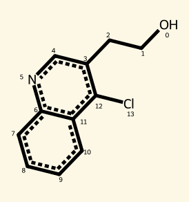 OCCc1cnc2ccccc2c1Cl